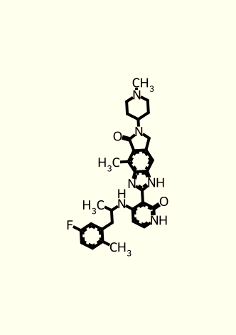 Cc1ccc(F)cc1CC(C)Nc1cc[nH]c(=O)c1-c1nc2c(C)c3c(cc2[nH]1)CN(C1CCN(C)CC1)C3=O